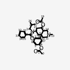 CC(=O)Oc1cccc(C23CCN(C)CC2C(OC(C)=O)C[C@H](N(CC(C)C)C(=O)c2ccccc2)C3)c1